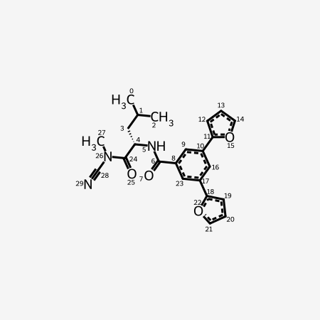 CC(C)C[C@H](NC(=O)c1cc(-c2ccco2)cc(-c2ccco2)c1)C(=O)N(C)C#N